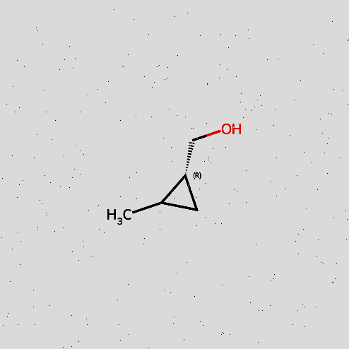 CC1C[C@H]1CO